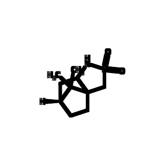 CC1(C)[C@@H]2CCC13CS(=O)(=O)NC3C2